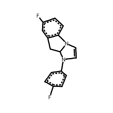 Fc1ccc(N2C=CN3c4ccc(F)cc4CC23)cc1